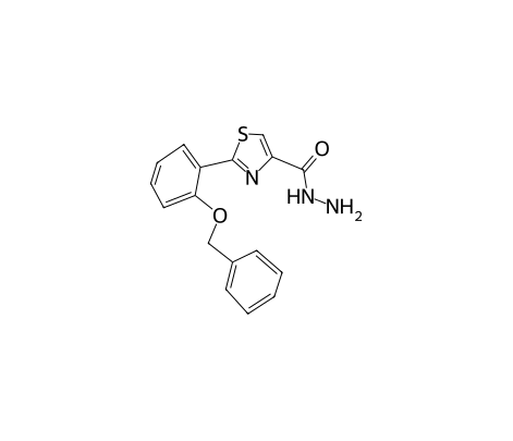 NNC(=O)c1csc(-c2ccccc2OCc2ccccc2)n1